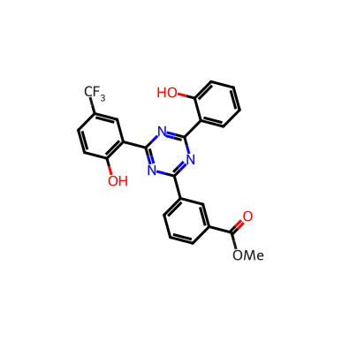 COC(=O)c1cccc(-c2nc(-c3ccccc3O)nc(-c3cc(C(F)(F)F)ccc3O)n2)c1